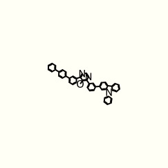 c1ccc(-c2ccc(-c3ccc4oc5c(-c6cccc(-c7ccc8c9ccccc9n(-c9ccccc9)c8c7)c6)ncnc5c4c3)cc2)cc1